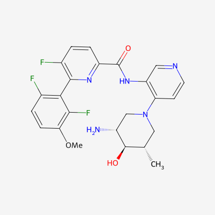 COc1ccc(F)c(-c2nc(C(=O)Nc3cnccc3N3C[C@@H](N)[C@H](O)[C@@H](C)C3)ccc2F)c1F